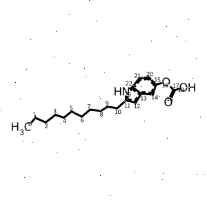 CCCCCCCCCCCc1cc2cc(OC(=O)O)ccc2[nH]1